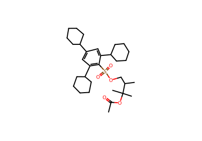 CC(=O)OC(C)(C)C(C)COS(=O)(=O)c1c(C2CCCCC2)cc(C2CCCCC2)cc1C1CCCCC1